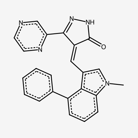 Cn1cc(C=C2C(=O)NN=C2c2cnccn2)c2c(-c3ccccc3)cccc21